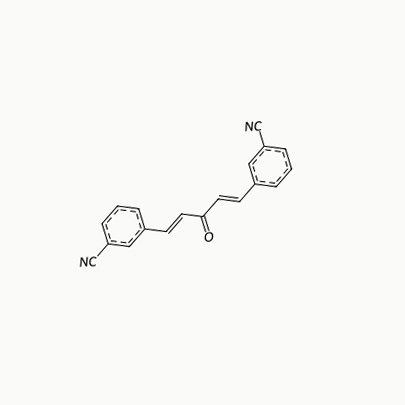 N#Cc1cccc(C=CC(=O)C=Cc2cccc(C#N)c2)c1